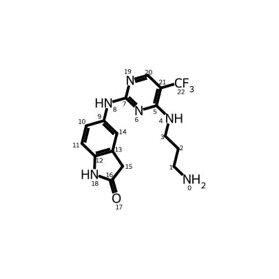 NCCCNc1nc(Nc2ccc3c(c2)CC(=O)N3)ncc1C(F)(F)F